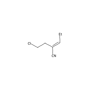 CCC=C(C#N)CCCl